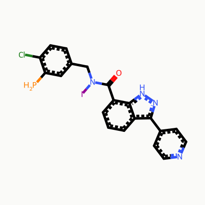 O=C(c1cccc2c(-c3ccncc3)n[nH]c12)N(I)Cc1ccc(Cl)c(P)c1